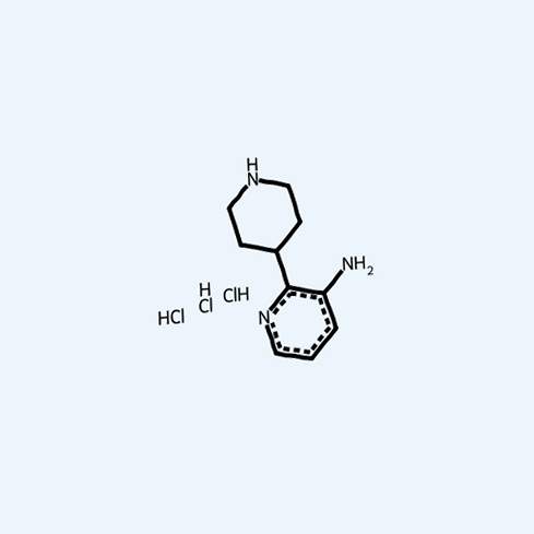 Cl.Cl.Cl.Nc1cccnc1C1CCNCC1